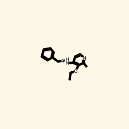 CCOc1c(NOCc2ccccc2)ccnc1C